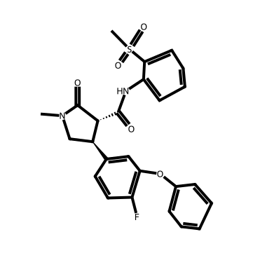 CN1C[C@H](c2ccc(F)c(Oc3ccccc3)c2)[C@@H](C(=O)Nc2ccccc2S(C)(=O)=O)C1=O